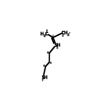 [CH2]C(C)=[SH]CCCS